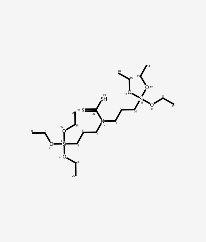 CCO[Si](CCCN(CCC[Si](OCC)(OCC)OCC)C(=S)S)(OCC)OCC